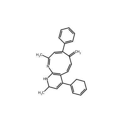 C=C1/C=C\C2=C(/N=C(C)\C=C/1c1ccccc1)NC(C)C=C2C1=CC=CCC1